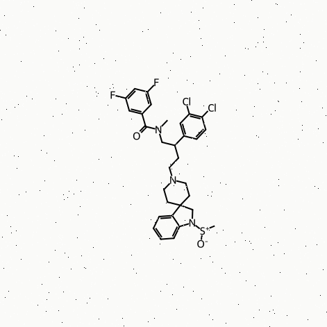 CN(CC(CCN1CCC2(CC1)CN([S+](C)[O-])c1ccccc12)c1ccc(Cl)c(Cl)c1)C(=O)c1cc(F)cc(F)c1